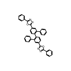 c1ccc(-c2nnc(-c3ccc(-c4ccc(-c5nnc(-c6ccccc6)o5)cc4-c4ccccc4)c(-c4ccccc4)c3)o2)cc1